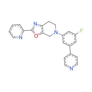 Fc1cc(-c2ccncc2)cc(N2CCc3nc(-c4ccccn4)oc3C2)c1